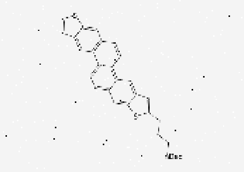 CCCCCCCCCCCCCc1cc2cc3c(ccc4c5cc6ccsc6cc5ccc34)cc2s1